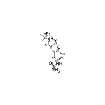 CCC(C)(C)c1ccc(Oc2ccc(NC(N)=O)cc2)cc1